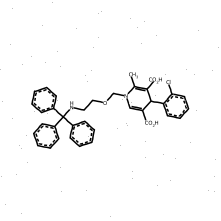 CC1=C(C(=O)O)C(c2ccccc2Cl)C(C(=O)O)=CN1COCCNC(c1ccccc1)(c1ccccc1)c1ccccc1